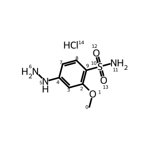 COc1cc(NN)ccc1S(N)(=O)=O.Cl